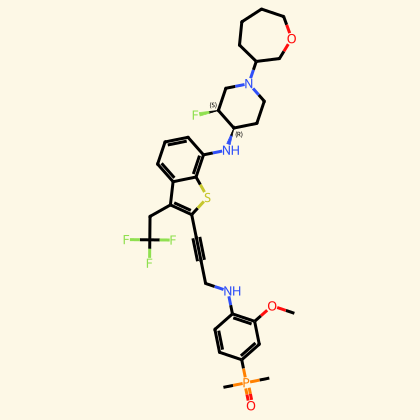 COc1cc(P(C)(C)=O)ccc1NCC#Cc1sc2c(N[C@@H]3CCN(C4CCCCOC4)C[C@@H]3F)cccc2c1CC(F)(F)F